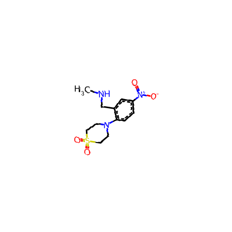 CNCc1cc([N+](=O)[O-])ccc1N1CCS(=O)(=O)CC1